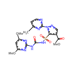 COC(=O)c1cnn(-c2nccc(C)n2)c1S(=O)(=O)NC(=O)Nc1nc(OC)cc(OC)n1